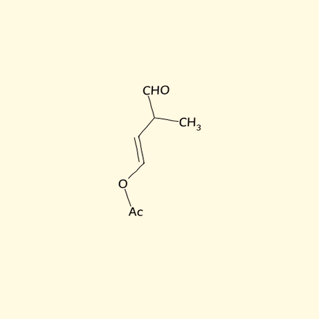 CC(=O)OC=CC(C)C=O